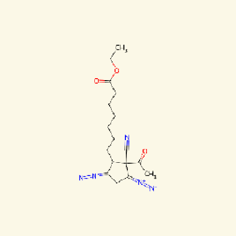 CCOC(=O)CCCCCCC1C(=[N+]=[N-])CC(=[N+]=[N-])C1(C#N)C(C)=O